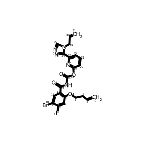 C=CCCOc1cc(F)c(Br)cc1C(=O)NC(=O)Oc1cccc(-c2nncn2CC=C)n1